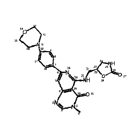 Cn1cnc2cc(-c3ccc(N4CCOCC4)cc3)nc(NC[C@H]3CNC(=O)O3)c2c1=O